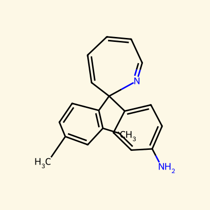 Cc1ccc(C2(c3ccc(N)cc3)C=CC=CC=N2)c(C)c1